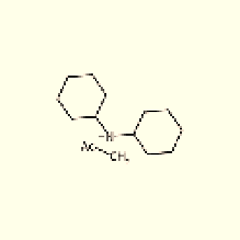 C1CCC(NC2CCCCC2)CC1.CC(C)=O